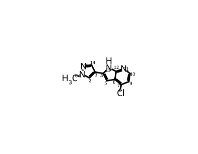 Cn1cc(-c2cc3c(Cl)ccnc3[nH]2)cn1